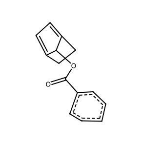 O=C(OC1C2=CC=C1CC2)c1ccccc1